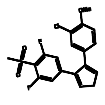 COc1ccc(C2=CCC=C2c2cc(F)c(S(C)(=O)=O)c(F)c2)cc1Cl